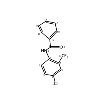 O=C(Nc1ccc(Cl)cc1C(F)(F)F)c1ccccc1